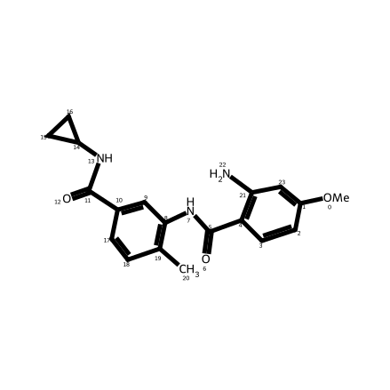 COc1ccc(C(=O)Nc2cc(C(=O)NC3CC3)ccc2C)c(N)c1